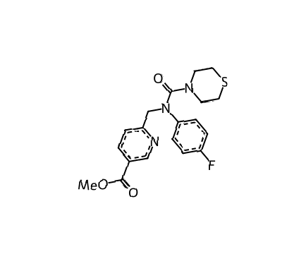 COC(=O)c1ccc(CN(C(=O)N2CCSCC2)c2ccc(F)cc2)nc1